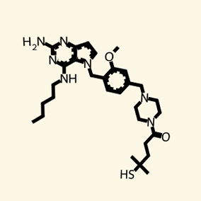 CCCCCNc1nc(N)nc2ccn(Cc3ccc(CN4CCN(C(=O)CCC(C)(C)S)CC4)cc3OC)c12